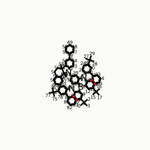 CC(C)(C)c1ccc2c(c1)B1c3cc(C(C)(C)C)ccc3N(c3ccc(C(C)(C)C)cc3-c3ccccc3)c3cc(N4c5ccc(-c6ccccc6)cc5C5(C)CCc6ccccc6C45C)cc(c31)N2c1ccc(C(C)(C)C)cc1-c1ccccc1